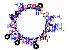 CCCC[C@@H]1NC(=O)[C@H](CCCC)N(C)C(=O)[C@H](Cc2c[nH]c3ccccc23)NC(=O)[C@H](CO)NC(=O)[C@H](Cc2c[nH]c3ccccc23)NC(=O)[C@H](CCNC(=O)C2CCCCC2)NC(=O)[C@H](CC(C)C)NC(=O)[C@H](Cc2cnc[nH]2)NC(=O)[C@@H]2CCCN2C(=O)[C@H](CC(N)=O)NC(=O)[C@H](C)N(C)C(=O)[C@H](Cc2ccccc2)NC(=O)CSC[C@@H](C(=O)NCC(N)=O)NC(=O)[C@H](CCCNC(=N)N)NC1=O